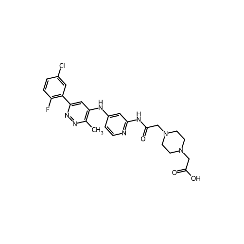 Cc1nnc(-c2cc(Cl)ccc2F)cc1Nc1ccnc(NC(=O)CN2CCN(CC(=O)O)CC2)c1